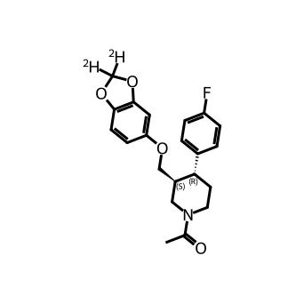 [2H]C1([2H])Oc2ccc(OC[C@@H]3CN(C(C)=O)CC[C@H]3c3ccc(F)cc3)cc2O1